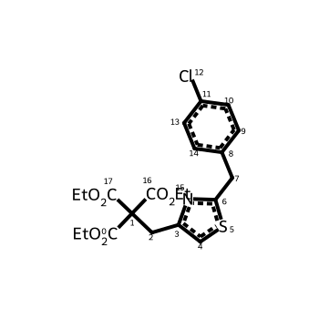 CCOC(=O)C(Cc1csc(Cc2ccc(Cl)cc2)n1)(C(=O)OCC)C(=O)OCC